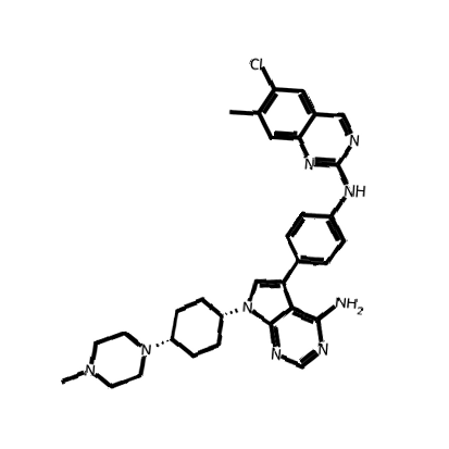 Cc1cc2nc(Nc3ccc(-c4cn([C@H]5CC[C@@H](N6CCN(C)CC6)CC5)c5ncnc(N)c45)cc3)ncc2cc1Cl